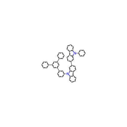 c1ccc(-c2cc(-c3ccccc3)cc(-c3cccc(-n4c5ccccc5c5ccc(-c6ccc7c8ccccc8n(-c8ccccc8)c7c6)cc54)c3)c2)cc1